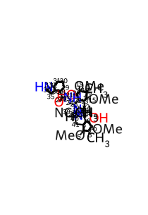 COc1c(C)c(OC)c2c(c1O)[C@H]1[C@@H]3Cc4c(OC)c(C)c(OC)c(O)c4[C@H](CNC(=O)c4cccc5[nH]ccc45)N3[C@@H](C#N)[C@@H](C2)N1C